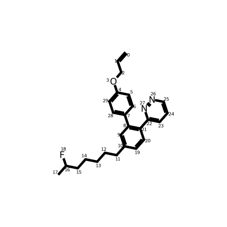 C=CCOc1ccc(-c2cc(CCCCCC(C)F)ccc2-c2cccnn2)cc1